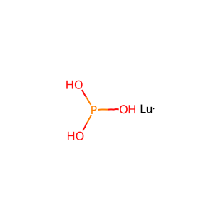 OP(O)O.[Lu]